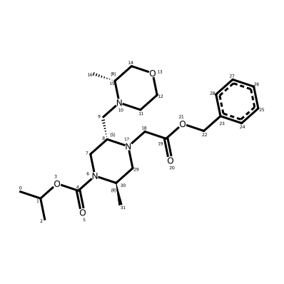 CC(C)OC(=O)N1C[C@H](CN2CCOC[C@H]2C)N(CC(=O)OCc2ccccc2)C[C@H]1C